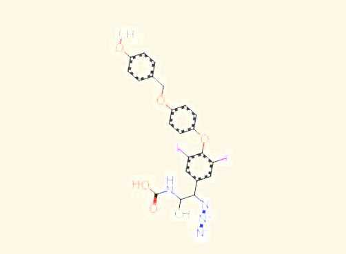 COc1ccc(COc2ccc(Oc3c(I)cc(C(N=[N+]=[N-])C(C)NC(=O)O)cc3I)cc2)cc1